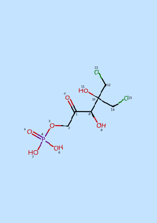 O=C(COP(=O)(O)O)C(O)C(O)(CCl)CCl